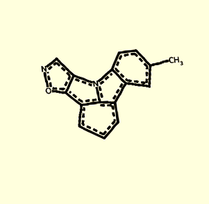 Cc1ccc2c(c1)c1cccc3c4oncc4n2c13